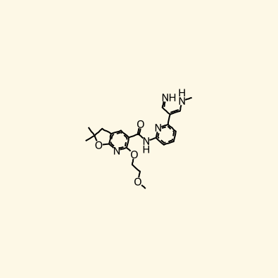 CN/C=C(\C=N)c1cccc(NC(=O)c2cc3c(nc2OCCOC)OC(C)(C)C3)n1